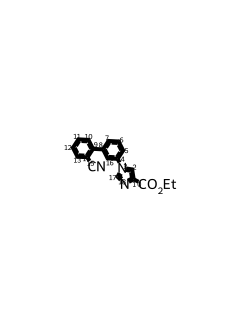 CCOC(=O)c1cn(-c2cccc(-c3ccccc3C#N)c2)cn1